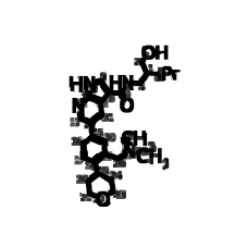 CC(C)C(CO)CNC(=O)c1c[nH]c2ncc(-c3ccc(C4CCOCC4)c(CN(C)C)c3)cc12